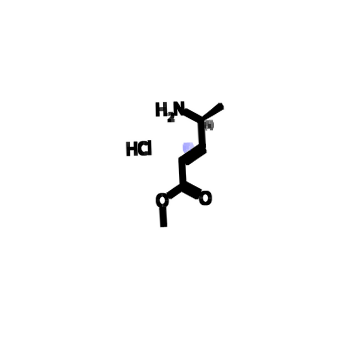 COC(=O)/C=C/[C@H](C)N.Cl